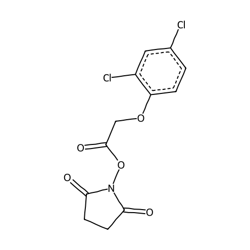 O=C(COc1ccc(Cl)cc1Cl)ON1C(=O)CCC1=O